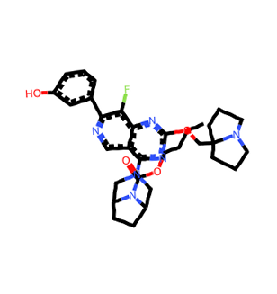 CCCCOC(=O)N1C2CCC1CN(c1nc(OCC34CCCN3CCC4)nc3c(F)c(-c4cccc(O)c4)ncc13)C2